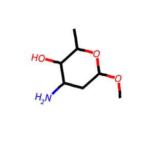 COC1CC(N)C(O)C(C)O1